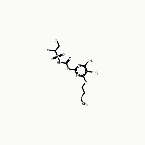 COCCOc1nc(NC(=O)NS(=O)(=O)C(Cl)CCl)nc(C)c1C